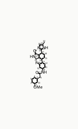 COc1cccc(CC(=O)Nc2ccc(-c3ccc(-c4ncc(C)[nH]4)c4c3CNC4=O)c(F)c2)c1